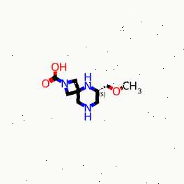 COC[C@@H]1CNCC2(CN(C(=O)O)C2)N1